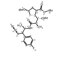 CO[C@@H]1C[C@@H]([C@H](OC)[C@@H](C)C(=O)N[C@H](C)C(N=[N+]=[N-])c2ccc(F)cc2)N(C(=O)OC(C)(C)C)C1